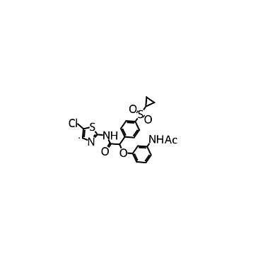 CC(=O)Nc1cccc(OC(C(=O)Nc2n[c]c(Cl)s2)c2ccc(S(=O)(=O)C3CC3)cc2)c1